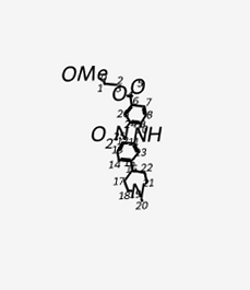 COCCOC(=O)c1ccc(Nc2cccc(C3CCN(C)CC3)c2)c([N+](=O)[O-])c1